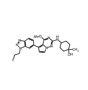 COc1nc(NC2CCC(C)(O)CC2)nn2ccc(-c3ccc4nnn(CCF)c4c3)c12